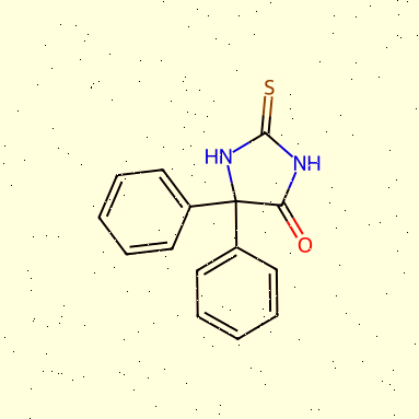 O=C1NC(=S)NC1(c1ccccc1)c1ccccc1